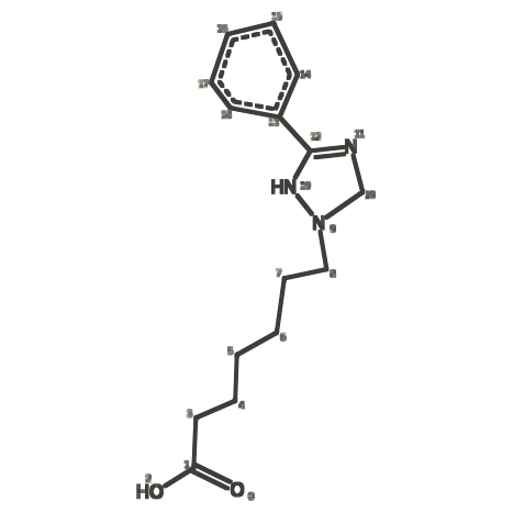 O=C(O)CCCCCCN1CN=C(c2ccccc2)N1